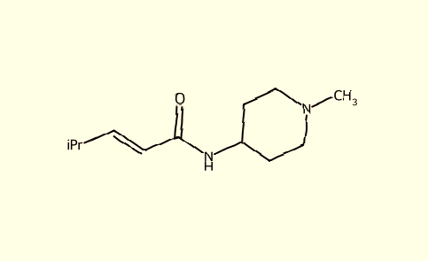 CC(C)/C=C/C(=O)NC1CCN(C)CC1